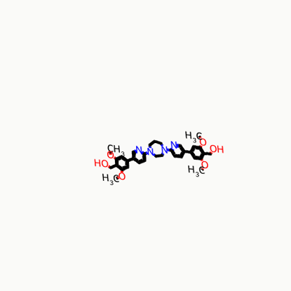 COc1cc(-c2ccc(N3CCCN(c4ccc(-c5cc(OC)c(CO)c(OC)c5)cn4)CC3)nc2)cc(OC)c1CO